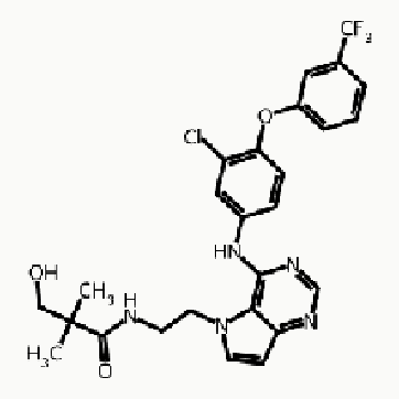 CC(C)(CO)C(=O)NCCn1ccc2ncnc(Nc3ccc(Oc4cccc(C(F)(F)F)c4)c(Cl)c3)c21